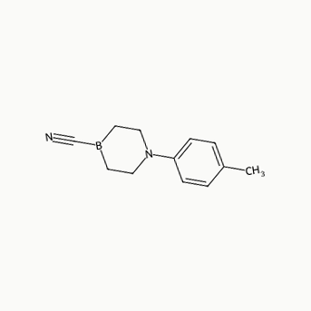 Cc1ccc(N2CCB(C#N)CC2)cc1